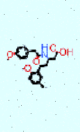 [CH2]c1ccc(OC)c(CCC(CC(=O)O)NC(=O)Cc2ccc(OC)cc2)c1